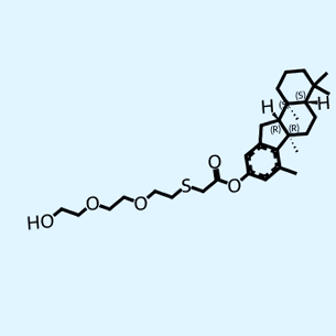 Cc1cc(OC(=O)CSCCOCCOCCO)cc2c1[C@]1(C)CC[C@H]3C(C)(C)CCC[C@]3(C)[C@H]1C2